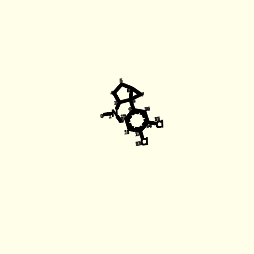 CN(C)C1CCC2CC21c1ccc(Cl)c(Cl)c1